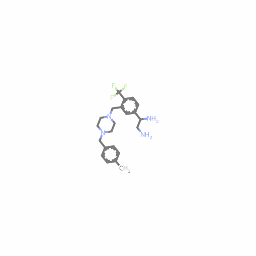 Cc1ccc(CN2CCN(Cc3cc(C(N)CN)ccc3C(F)(F)F)CC2)cc1